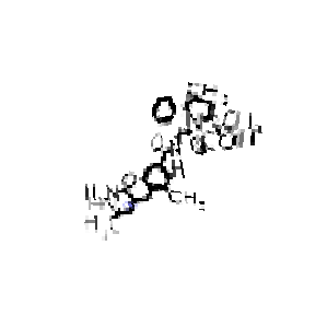 CC(=N)/C=C(/Cc1ccc(C(=O)NCC(=O)N2[C@H](c3ccccc3)[C@@H](C)C[C@@H]2C(C)(C)O)cc1C)C(N)=O